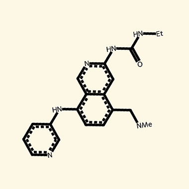 CCNC(=O)Nc1cc2c(CNC)ccc(Nc3cccnc3)c2cn1